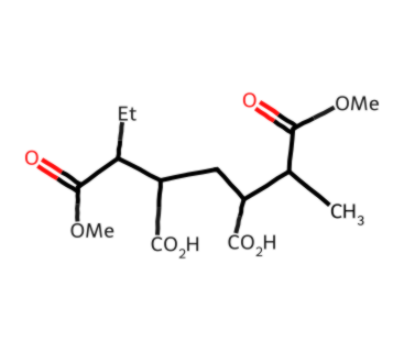 CCC(C(=O)OC)C(CC(C(=O)O)C(C)C(=O)OC)C(=O)O